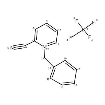 F[B-](F)(F)F.N#Cc1cccc[n+]1Cc1ccccc1